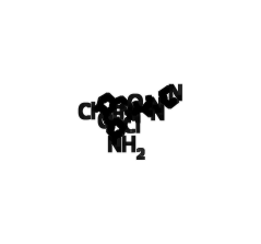 Cc1c(-c2nnc(Cc3ccc(Cl)c(Oc4cc(N)cc(Cl)c4)c3F)o2)cnn1-c1ccncc1